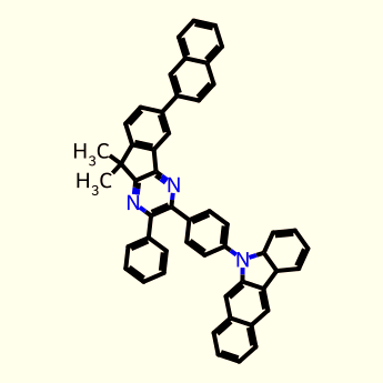 CC1(C)c2ccc(-c3ccc4ccccc4c3)cc2-c2nc(-c3ccc(N4c5cc6ccccc6cc5C5C=CC=CC54)cc3)c(-c3ccccc3)nc21